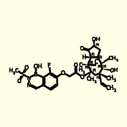 C=C[C@]1(C)C[C@@H](OC(=O)COc2ccc3c(c2F)B(O)N(S(C)(=O)=O)N=C3)[C@]2(C)[C@H](C)CC[C@]3(C[C@H](O)C(=O)[C@H]32)[C@@H](C)[C@@H]1O